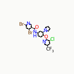 O=C(Nc1ccc(Oc2ncc(C(F)(F)F)cc2Cl)c(-n2cccc2)c1)c1cnc(Br)cc1Br